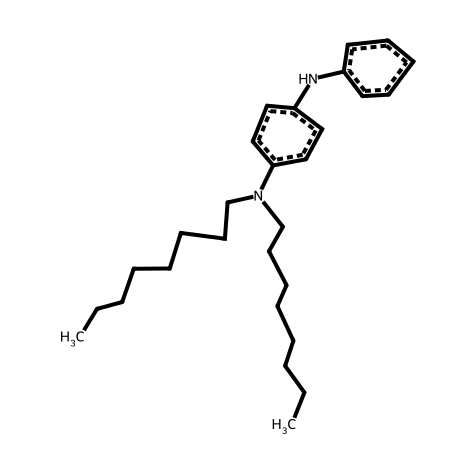 CCCCCCCCN(CCCCCCCC)c1ccc(Nc2ccccc2)cc1